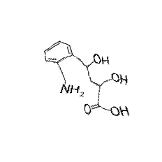 Nc1ccccc1C(O)CC(O)C(=O)O